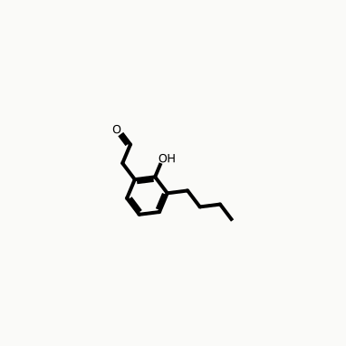 CCCCc1cccc(CC=O)c1O